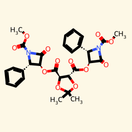 COC(=O)N1C(=O)[C@H](OC(=O)[C@@H]2OC(C)(C)O[C@H]2C(=O)O[C@H]2C(=O)N(C(=O)OC)[C@H]2c2ccccc2)[C@@H]1c1ccccc1